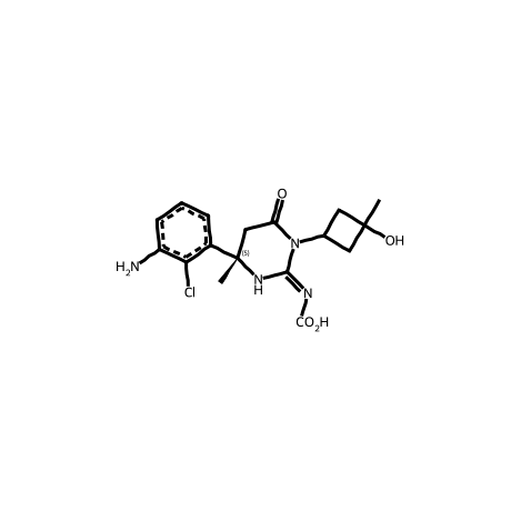 CC1(O)CC(N2C(=O)C[C@@](C)(c3cccc(N)c3Cl)NC2=NC(=O)O)C1